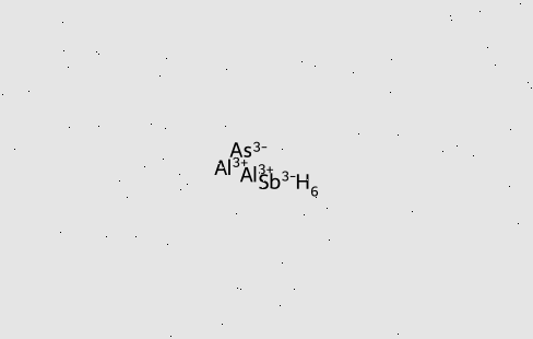 [Al+3].[Al+3].[As-3].[SbH6-3]